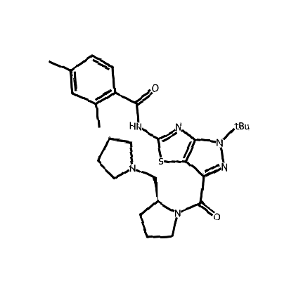 Cc1ccc(C(=O)Nc2nc3c(s2)c(C(=O)N2CCC[C@H]2CN2CCCC2)nn3C(C)(C)C)c(C)c1